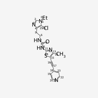 CCn1cnc(CCNC(=O)Nc2nc(C)c(C#Cc3ccncc3)s2)c1Cl